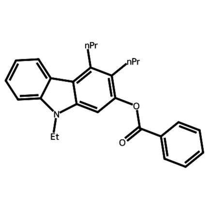 CCCc1c(OC(=O)c2ccccc2)cc2c(c1CCC)c1ccccc1n2CC